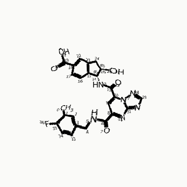 Cc1cc(CNC(=O)c2cc(C(=O)N[C@@H]3c4ccc(C(=O)O)cc4C[C@H]3O)n3ncnc3n2)ccc1F